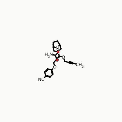 CC#CCOC(=O)N1CC2CCC(C1)N2CC(N)CCOc1ccc(C#N)cc1